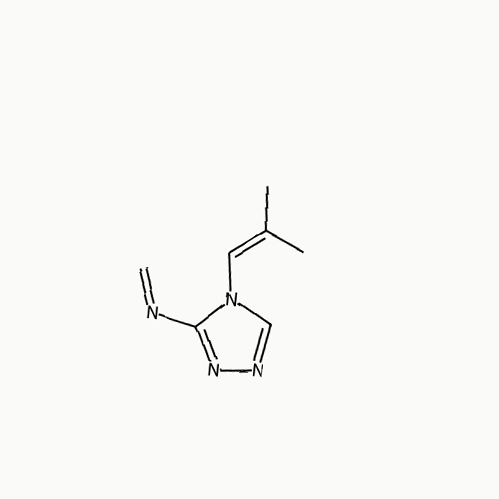 C=Nc1nncn1C=C(C)C